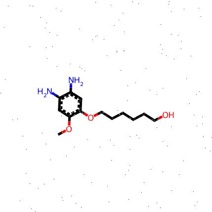 COc1cc(N)c(N)cc1OCCCCCCO